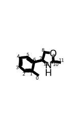 Cc1ccccc1C1COC(C)N1